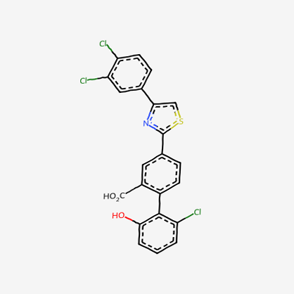 O=C(O)c1cc(-c2nc(-c3ccc(Cl)c(Cl)c3)cs2)ccc1-c1c(O)cccc1Cl